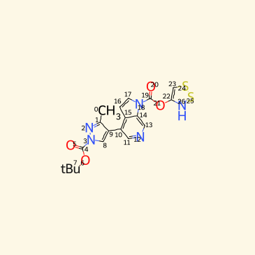 Cc1nn(C(=O)OC(C)(C)C)cc1-c1cncc2c1ccn2C(=O)OC1=CSSN1